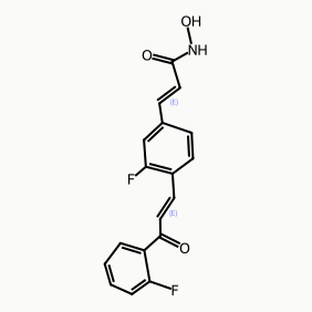 O=C(/C=C/c1ccc(/C=C/C(=O)c2ccccc2F)c(F)c1)NO